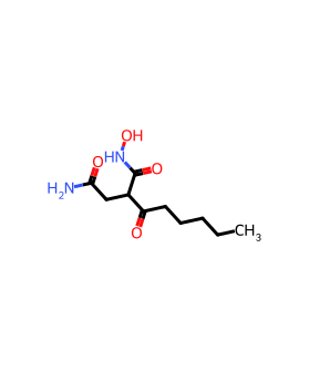 CCCCCC(=O)C(CC(N)=O)C(=O)NO